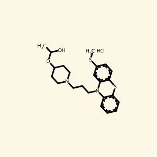 CSc1ccc2c(c1)N(CCCN1CCC(OC(C)O)CC1)c1ccccc1S2.Cl